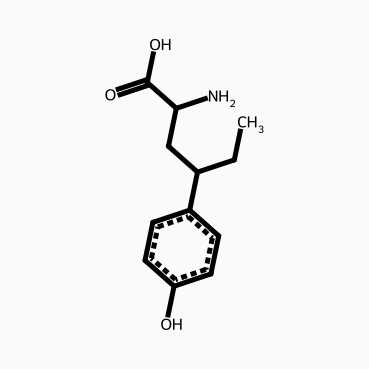 CCC(CC(N)C(=O)O)c1ccc(O)cc1